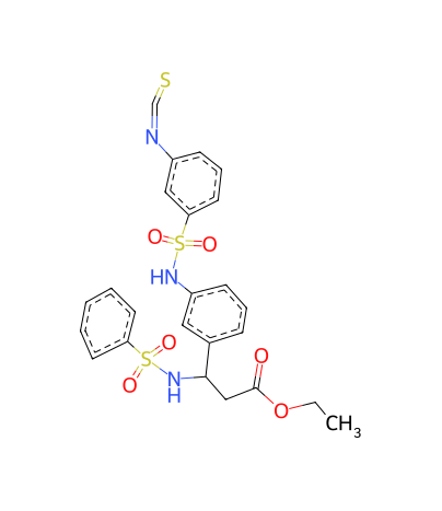 CCOC(=O)CC(NS(=O)(=O)c1ccccc1)c1cccc(NS(=O)(=O)c2cccc(N=C=S)c2)c1